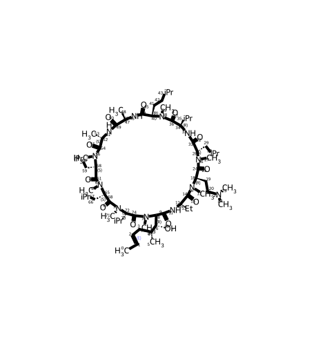 C/C=C/C[C@@H](C)[C@@H](O)C1C(=O)N[C@@H](CC)C(=O)N(C)[C@H](CCN(C)C)C(=O)N(C)[C@@H](CC(C)C)C(=O)N[C@H](C(C)C)C(=O)N(C)[C@H](CCC(C)C)C(=O)N[C@H](C)C(=O)N[C@@H](C)C(=O)N(C)[C@@H](CC(C)C)C(=O)N(C)[C@@H](CC(C)C)C(=O)N(C)[C@@H](C(C)C)C(=O)N1C